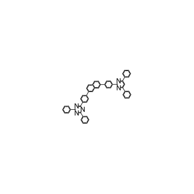 c1ccc(-c2cc(-c3ccccc3)nc(-c3ccc(-c4ccc5ccc(-c6ccc(-c7nc(-c8ccccc8)nc(-c8ccccc8)n7)cc6)cc5c4)cc3)n2)cc1